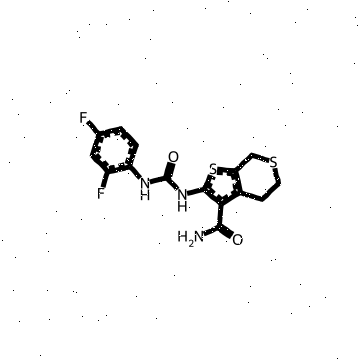 NC(=O)c1c(NC(=O)Nc2ccc(F)cc2F)sc2c1CCSC2